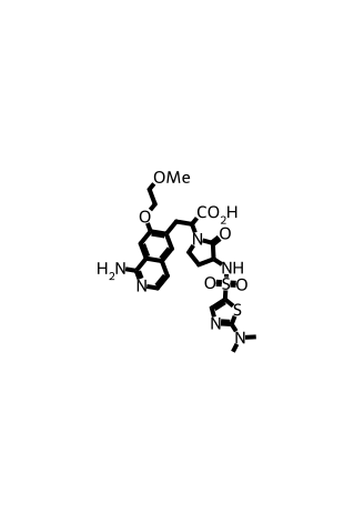 COCCOc1cc2c(N)nccc2cc1CC(C(=O)O)N1CCC(NS(=O)(=O)c2cnc(N(C)C)s2)C1=O